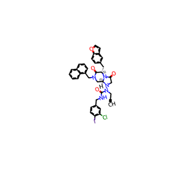 C#CCN(C(=O)NCc1ccc(I)c(Cl)c1)N1CC(=O)N2[C@@H](Cc3ccc4occc4c3)C(=O)N(Cc3cccc4ccccc34)C[C@@H]21